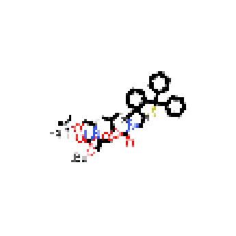 C=CCOC(=O)N1C[C@@H](SC(c2ccccc2)(c2ccccc2)c2ccccc2)C[C@H]1CC(CO)C[C@@H](CO[Si](C)(C)C(C)(C)C)NC(=O)OC(C)(C)C